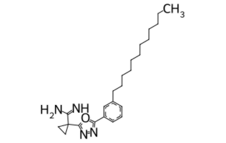 CCCCCCCCCCCCc1cccc(-c2nnc(C3(C(=N)N)CC3)o2)c1